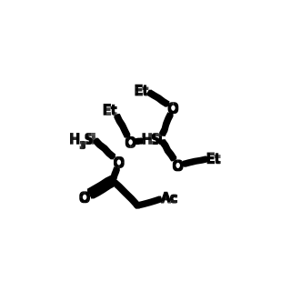 CC(=O)CC(=O)O[SiH3].CCO[SiH](OCC)OCC